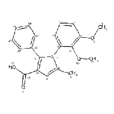 COc1cccc(-n2c(C)cc(C(=O)O)c2-c2ccccc2)c1OC